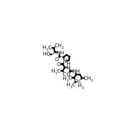 COC(=O)C(CC(C)C)NC(=O)N[C@H](C(=O)N1CCC[C@H]1C(=O)N[C@H](CO)C(C)C)C(C)C